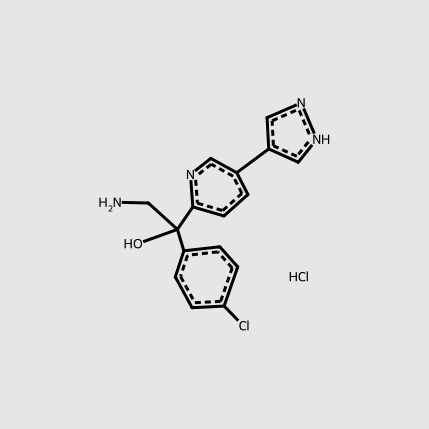 Cl.NCC(O)(c1ccc(Cl)cc1)c1ccc(-c2cn[nH]c2)cn1